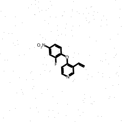 C=Cc1cnccc1Oc1ccc([N+](=O)[O-])cc1F